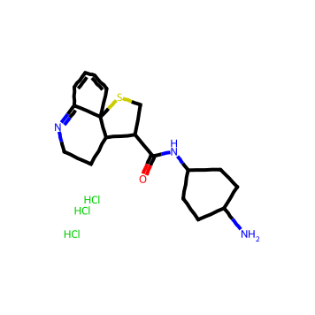 Cl.Cl.Cl.NC1CCC(NC(=O)C2CSC34C=CC=CC3=NCCC24)CC1